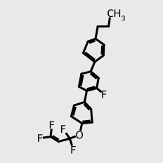 CCCc1ccc(-c2ccc(-c3ccc(OC(F)(F)C=C(F)F)cc3)c(F)c2)cc1